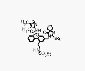 CCCCC1=NC2(CCCC2)C(=O)N1Cc1ccc(-c2ccccc2S(=O)(=O)Nc2noc(C)c2C)c(CCNC(=O)OCC)c1